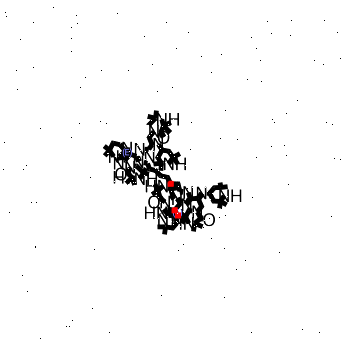 CC1(C)CC(N=C(CN2CC(C)(C)NC(C)(C)C2=O)c2nc(CCCCCCc3nc(C(CN4CC(C)(C)NC(C)(C)C4=O)=NC4CC(C)(C)NC(C)(C)C4)nc(/C4=N/C5CC(C)(C)N(NC4N4CC(C)(C)NC(C)(C)C4=O)C(C)(C)C5)n3)nc(/C3=N/C4CC(C)(C)N(NC3N3CC(C)(C)NC(C)(C)C3=O)C(C)(C)C4)n2)CC(C)(C)N1